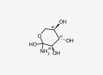 NC1(O)OC[C@@H](O)[C@H](O)[C@H]1O